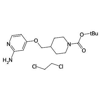 CC(C)(C)OC(=O)N1CCC(COc2ccnc(N)c2)CC1.ClCCCl